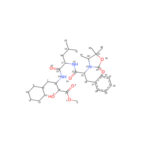 COC(=O)C(O)C(CC1CCCCC1)NC(=O)C(CC(C)C)NC(=O)C(Cc1ccccc1)N1C(=O)OC(C)(C)C1C